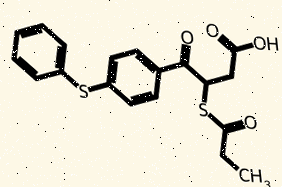 CCC(=O)SC(CC(=O)O)C(=O)c1ccc(Sc2ccccc2)cc1